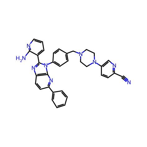 N#Cc1ccc(N2CCN(Cc3ccc(-n4c(-c5cccnc5N)nc5ccc(-c6ccccc6)nc54)cc3)CC2)cn1